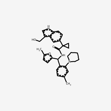 Cc1ccc(C(NC(=O)C2(c3ccc4[nH]cc(CO)c4c3)CC2)c2ccc(C)o2)c(N2CCCCC2)c1